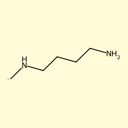 [CH2]NCCCCN